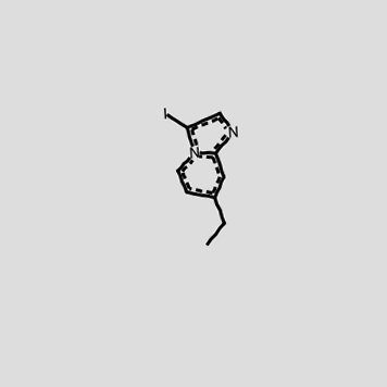 CCc1ccn2c(I)cnc2c1